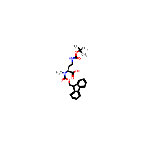 CN(C(=O)OCC1c2ccccc2-c2ccccc21)[C@@H](CCNC(=O)OC(C)(C)C)C(=O)O